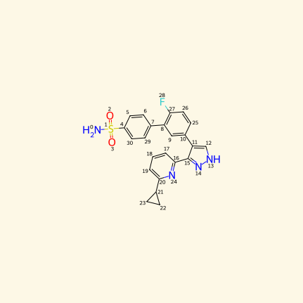 NS(=O)(=O)c1ccc(-c2cc(-c3c[nH]nc3-c3cccc(C4CC4)n3)ccc2F)cc1